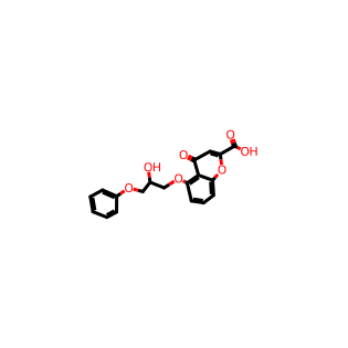 O=C(O)c1cc(=O)c2c(OCC(O)COc3ccccc3)cccc2o1